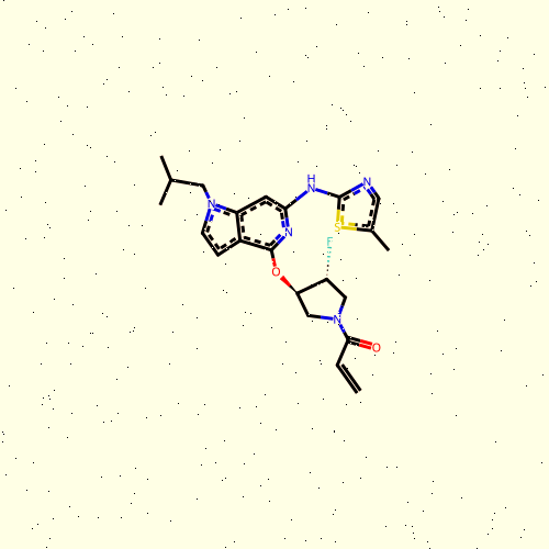 C=CC(=O)N1C[C@@H](F)[C@H](Oc2nc(Nc3ncc(C)s3)cc3c2ccn3CC(C)C)C1